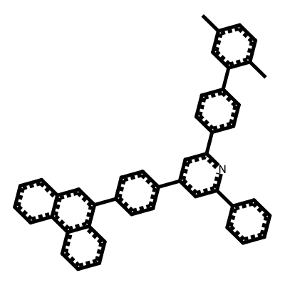 Cc1ccc(C)c(-c2ccc(-c3cc(-c4ccc(-c5cc6ccccc6c6ccccc56)cc4)cc(-c4ccccc4)n3)cc2)c1